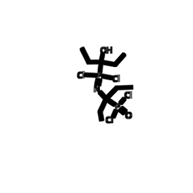 CCC(CC)(N=P(Cl)(Cl)C(O)(CC)CC)P(=O)(Cl)Cl